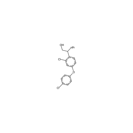 CCCC(CO)c1ccc(Oc2ccc(Cl)cc2)cc1Cl